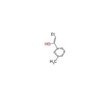 CCC=C(O)c1cccc(C)c1